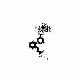 COC(=O)/C=C/c1ccccc1N1CCCC(CO[Si](C)(C)C(C)(C)C)C1